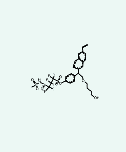 C=Cc1ccc2cc(C(COCCCCO)c3ccc(OS(=O)(=O)C(F)(F)C(F)(F)C(F)(F)S(=O)(=O)NS(C)(=O)=O)cc3)ccc2c1